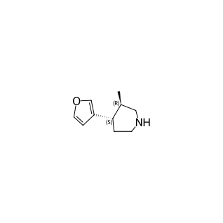 C[C@H]1CNCC[C@@H]1c1ccoc1